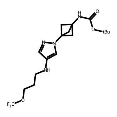 CC(C)(C)OC(=O)NC12CC(n3cc(NCCCOC(F)(F)F)cn3)(C1)C2